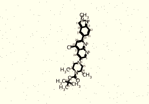 C[C@@H]1CN(c2cnc3nc(-c4ccc5nn(C)cc5c4)cc(Cl)c3c2)C[C@H](C)N1C(=O)OC(C)(C)C